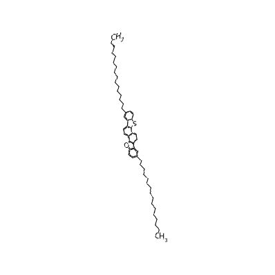 CCCCCCCCCCCCCCCCc1ccc2oc3c(ccc4c3ccc3c5cc(CCCCCCCCCCCCCCCC)ccc5sc34)c2c1